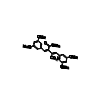 COC(=O)C(=C\c1cc(OC)cc(OC)c1)/C(=C/c1cc(OC)cc(OC)c1)C(=O)O